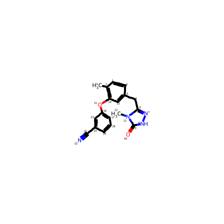 Cc1ccc(Cc2n[nH]c(=O)n2C)cc1Oc1cccc(C#N)c1